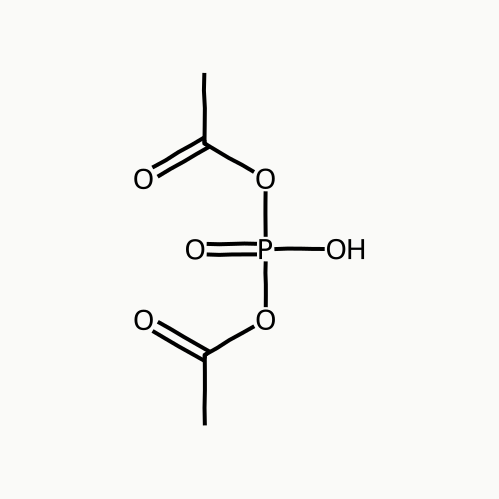 CC(=O)OP(=O)(O)OC(C)=O